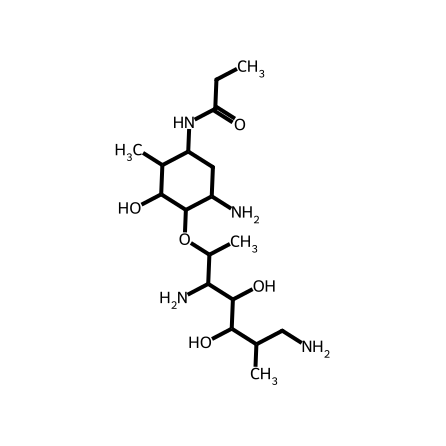 CCC(=O)NC1CC(N)C(OC(C)C(N)C(O)C(O)C(C)CN)C(O)C1C